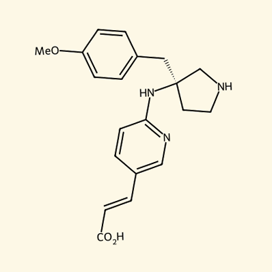 COc1ccc(C[C@@]2(Nc3ccc(/C=C/C(=O)O)cn3)CCNC2)cc1